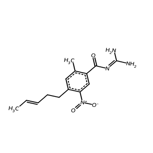 C/C=C/CCc1cc(C)c(C(=O)N=C(N)N)cc1[N+](=O)[O-]